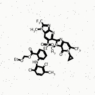 CCOCOC(=O)c1ccccc1Nc1c(Cl)ccc(C)c1Cl.CCS(=O)(=O)c1cc2c(nc1-c1nc3cc(C(F)(F)F)n(C4CC4)c(=O)c3n1C)nc(C(F)(F)F)n2C